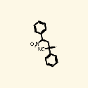 [CH2]C(C#N)(CC(c1ccccc1)[N+](=O)[O-])c1ccccc1